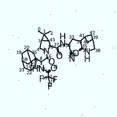 CC1(C)C2CN(C(=O)C(NC(=O)C(F)(F)F)C34CC5CC(CC(C5)C3)C4)C(C(=O)NC(C#N)CC3C(=O)NCC4CC3C4)C21